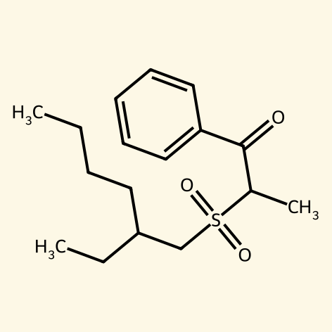 CCCCC(CC)CS(=O)(=O)C(C)C(=O)c1ccccc1